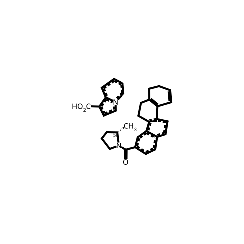 C[C@H]1CCCN1C(=O)c1ccc2ccc3c(c2c1)CCC1=C3C=CCC1.O=C(O)c1ccn2ccccc12